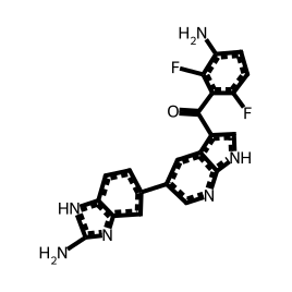 Nc1nc2cc(-c3cnc4[nH]cc(C(=O)c5c(F)ccc(N)c5F)c4c3)ccc2[nH]1